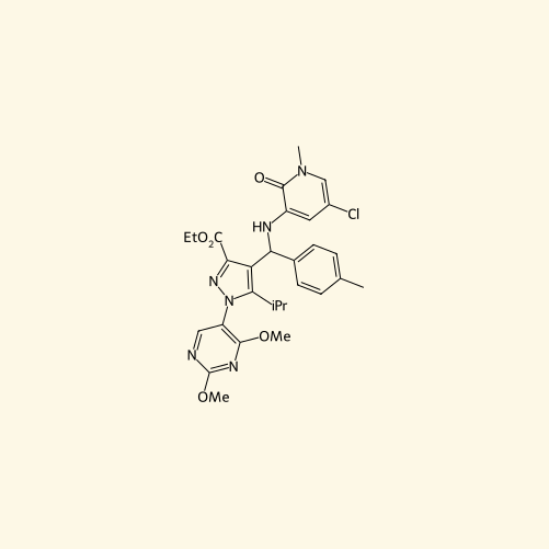 CCOC(=O)c1nn(-c2cnc(OC)nc2OC)c(C(C)C)c1C(Nc1cc(Cl)cn(C)c1=O)c1ccc(C)cc1